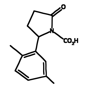 Cc1ccc(C)c(C2CCC(=O)N2C(=O)O)c1